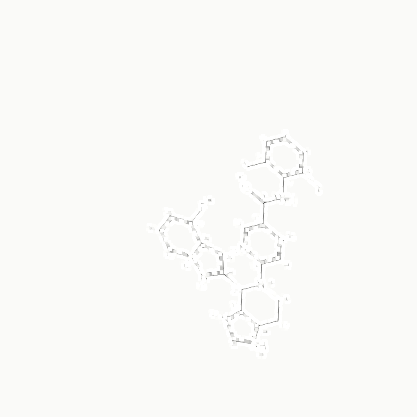 Cc1cccc(C)c1NC(=O)c1cnc(N2CCc3[nH]cnc3[C@H]2c2cc3c(F)cccn3n2)cn1